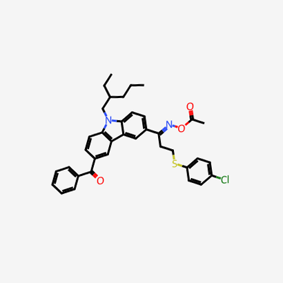 CCCC(CC)Cn1c2ccc(C(=O)c3ccccc3)cc2c2cc(/C(CCSc3ccc(Cl)cc3)=N/OC(C)=O)ccc21